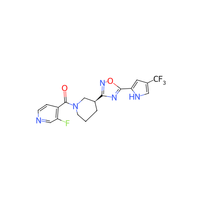 O=C(c1ccncc1F)N1CCC[C@H](c2noc(-c3cc(C(F)(F)F)c[nH]3)n2)C1